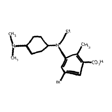 CCN(c1cc(Br)cc(C(=O)O)c1C)C1CCC(N(C)C)CC1